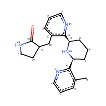 Cc1cccnc1[C@@H]1CCC[C@H](c2ncccc2CC2CCNC2=O)N1